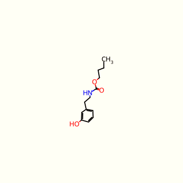 CCCCOC(=O)NCCc1cccc(O)c1